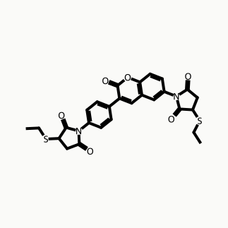 CCSC1CC(=O)N(c2ccc(-c3cc4cc(N5C(=O)CC(SCC)C5=O)ccc4oc3=O)cc2)C1=O